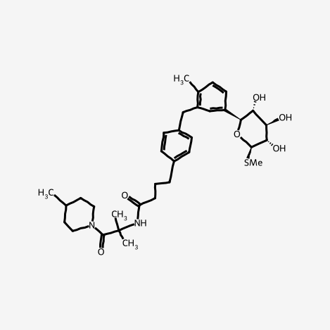 CS[C@H]1O[C@@H](c2ccc(C)c(Cc3ccc(CCCC(=O)NC(C)(C)C(=O)N4CCC(C)CC4)cc3)c2)[C@H](O)[C@@H](O)[C@@H]1O